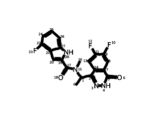 CC(c1n[nH]c(=O)c2cc(F)c(F)cc12)N(C)C(=O)c1cc2c(F)cccc2[nH]1